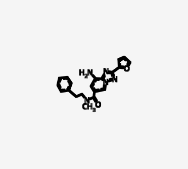 CN(CCc1ccccc1)C(=O)c1cc(N)c2nc(-c3ccco3)nn2c1